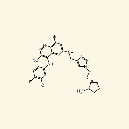 CN1CCC[C@H]1CCn1cc(CNc2cc(Br)c3ncc(C#N)c(Nc4ccc(F)c(Cl)c4)c3c2)nn1